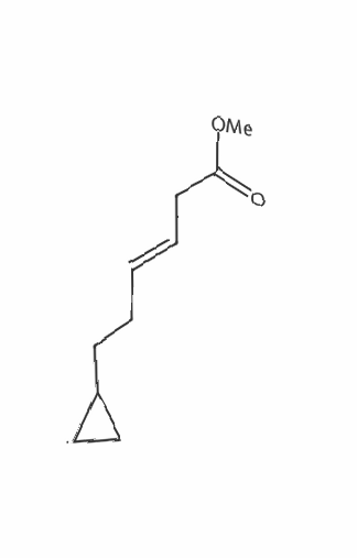 COC(=O)CC=CCCC1[CH]C1